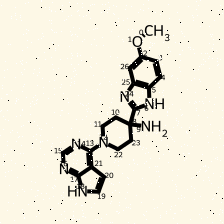 COc1ccc2[nH]c(C3(N)CCN(c4ncnc5[nH]ccc45)CC3)nc2c1